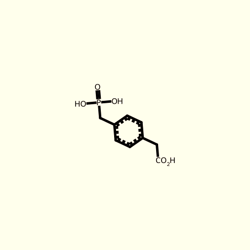 O=C(O)Cc1ccc(CP(=O)(O)O)cc1